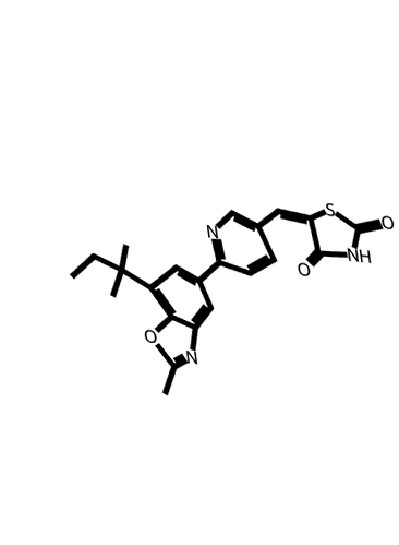 CCC(C)(C)c1cc(-c2ccc(C=C3SC(=O)NC3=O)cn2)cc2nc(C)oc12